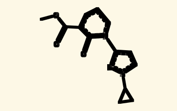 COC(=O)c1cccn(-c2ccn(C3CC3)n2)c1=O